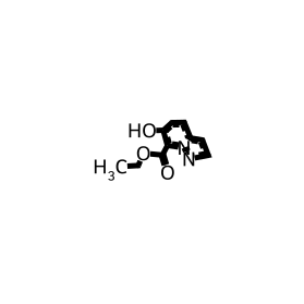 CCOC(=O)c1c(O)ccc2ccnn12